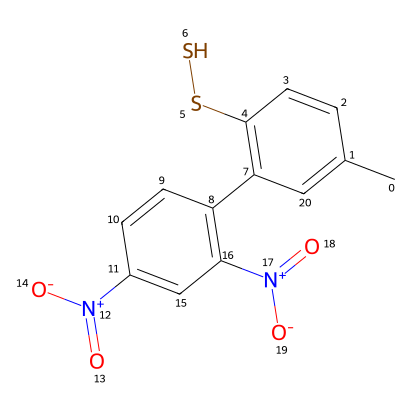 Cc1ccc(SS)c(-c2ccc([N+](=O)[O-])cc2[N+](=O)[O-])c1